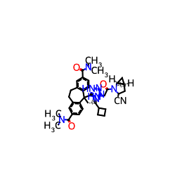 CN(C)C(=O)c1ccc2c(c1)CCc1cc(C(=O)N(C)C)ccc1C2(C[C@H](NCC(=O)N1C(C#N)C[C@@H]2C[C@@H]21)C1CCC1)c1nnn[nH]1